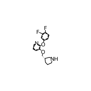 Fc1ccc(Oc2ncccc2OC[C@H]2CCCNC2)cc1F